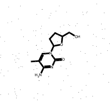 Cc1cn(C2CCC(CO)O2)c(=O)nc1N